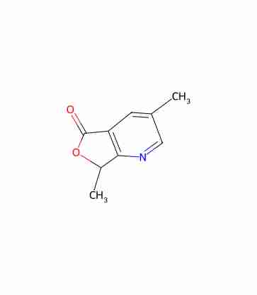 Cc1cnc2c(c1)C(=O)OC2C